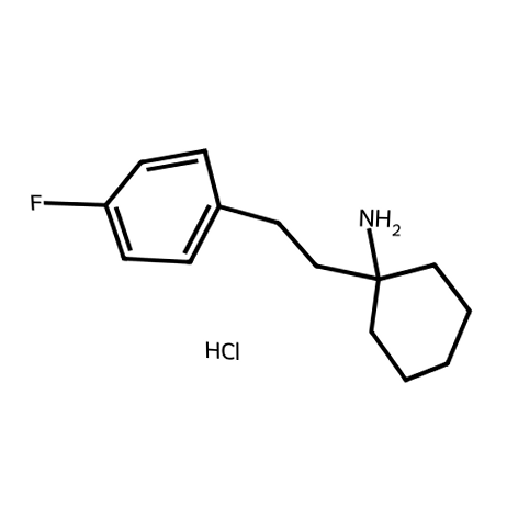 Cl.NC1(CCc2ccc(F)cc2)CCCCC1